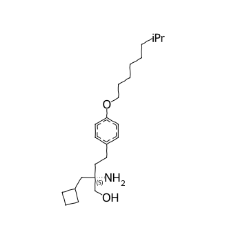 CC(C)CCCCCCOc1ccc(CC[C@@](N)(CO)CC2CCC2)cc1